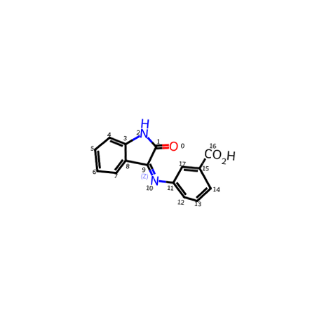 O=C1Nc2ccccc2/C1=N/c1cccc(C(=O)O)c1